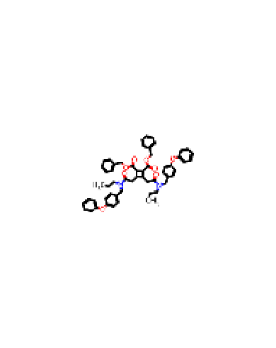 CCCN(Cc1ccc(Oc2ccccc2)cc1)C(=O)CC1C(CC(=O)N(CCC)Cc2ccc(Oc3ccccc3)cc2)C(C(=O)OCc2ccccc2)C1C(=O)OCc1ccccc1